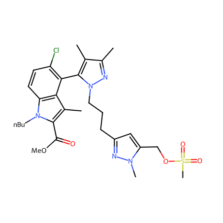 CCCCn1c(C(=O)OC)c(C)c2c(-c3c(C)c(C)nn3CCCc3cc(COS(C)(=O)=O)n(C)n3)c(Cl)ccc21